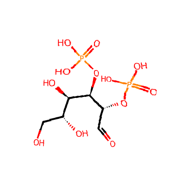 O=C[C@@H](OP(=O)(O)O)[C@H](OP(=O)(O)O)[C@H](O)[C@H](O)CO